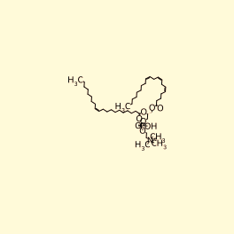 CCCCCCCC/C=C\C/C=C\C/C=C\CCCC(=O)OC[C@H](COP(=O)(O)OCC[N+](C)(C)C)OC(=O)CCCCCCCCC/C=C\CCCCCCCC